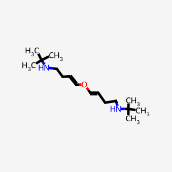 CC(C)(C)NCCC=COC=CCCNC(C)(C)C